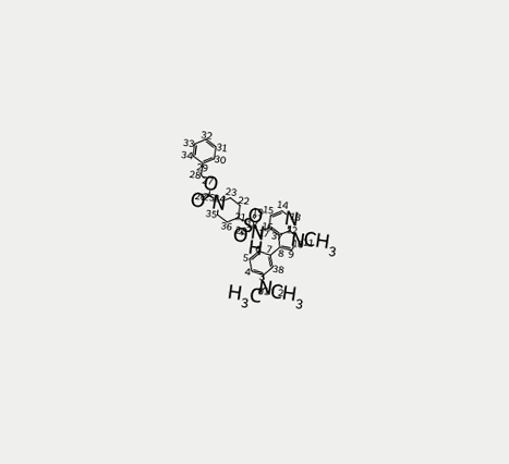 CN(C)c1cccc(-c2cn(C)c3nccc(NS(=O)(=O)C4CCN(C(=O)OCc5ccccc5)CC4)c23)c1